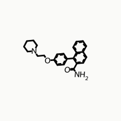 NC(=O)c1ccc2ccccc2c1-c1ccc(OCCN2CCCCC2)cc1